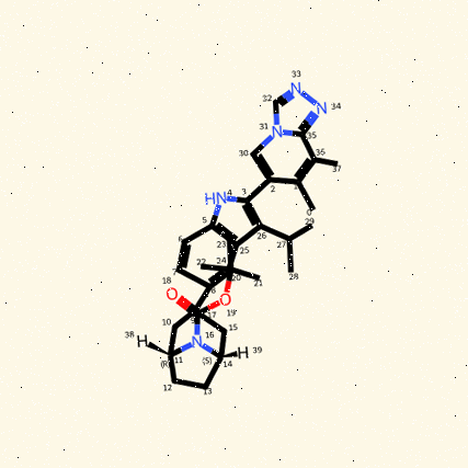 Cc1c(-c2[nH]c3ccc(C4C[C@H]5CC[C@@H](C4)N5C(=O)OC(C)(C)C)cc3c2C(C)C)cn2cnnc2c1C